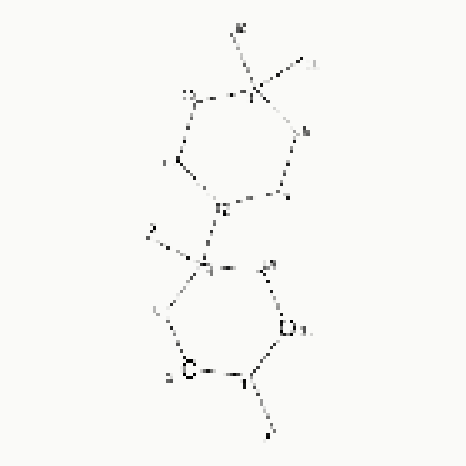 CC1OCC(C)(C2CCC(C)(C)CC2)CO1